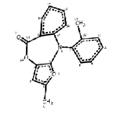 Cc1cc2c(o1)N(c1ccccc1C)c1ccccc1C(=O)O2